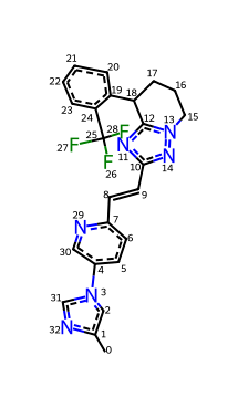 Cc1cn(-c2ccc(C=Cc3nc4n(n3)CCCC4c3ccccc3C(F)(F)F)nc2)cn1